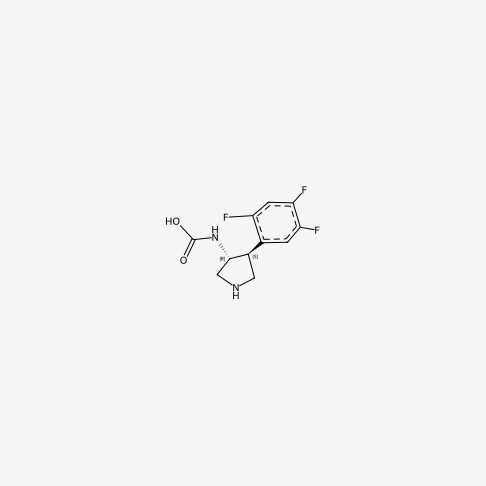 O=C(O)N[C@H]1CNC[C@@H]1c1cc(F)c(F)cc1F